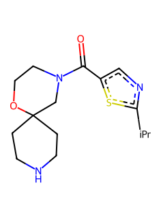 CC(C)c1ncc(C(=O)N2CCOC3(CCNCC3)C2)s1